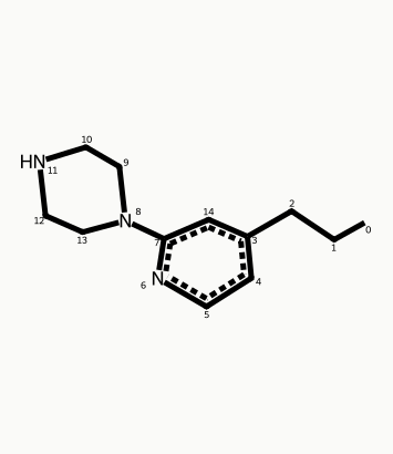 CCCc1ccnc(N2CCNCC2)c1